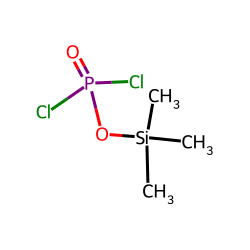 C[Si](C)(C)OP(=O)(Cl)Cl